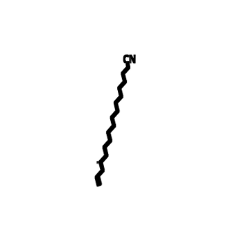 C=CC[CH]CCCCCCCCCCCCCC#N